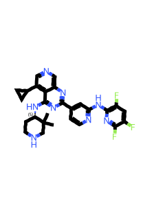 CC1(C)CNCC[C@@H]1Nc1nc(-c2ccnc(Nc3nc(F)c(F)cc3F)c2)nc2cncc(C3CC3)c12